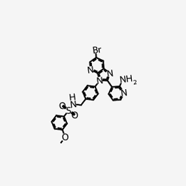 COc1cccc(S(=O)(=O)NCc2ccc(-n3c(-c4cccnc4N)nc4cc(Br)cnc43)cc2)c1